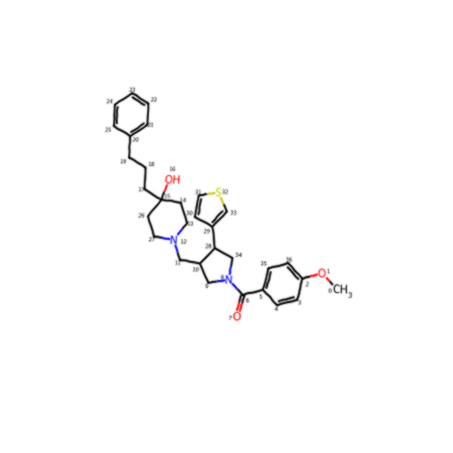 COc1ccc(C(=O)N2CC(CN3CCC(O)(CCCc4ccccc4)CC3)C(c3ccsc3)C2)cc1